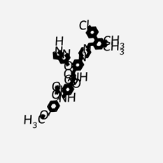 COC[C@H]1CC[C@H](CNc2ccc(S(=O)(=O)NC(=O)c3ccc(N4CCN(CC5=C(c6ccc(Cl)cc6)CC(C)(C)CC5)CC4)cc3Oc3cnc4[nH]ccc4c3)cc2[N+](=O)[O-])CC1